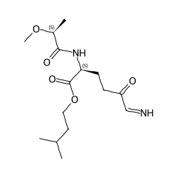 CO[C@@H](C)C(=O)N[C@@H](CCC(=O)C=N)C(=O)OCCC(C)C